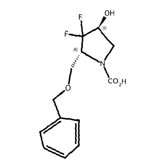 O=C(O)N1C[C@H](O)C(F)(F)[C@H]1COCc1ccccc1